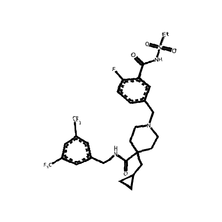 CCS(=O)(=O)NC(=O)c1cc(CN2CCC(CC3CC3)(C(=O)NCc3cc(C(F)(F)F)cc(C(F)(F)F)c3)CC2)ccc1F